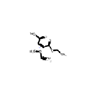 C=COC.CCOC(=O)/C=C\C(=O)O